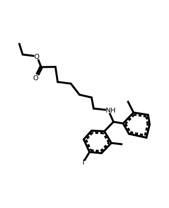 CCOC(=O)CCCCCCNC(c1ccccc1C)c1ccc(I)cc1C